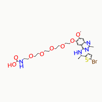 COc1cc2nc(C)nc(N[C@H](C)c3ccc(Br)s3)c2cc1OCCOCCOCCOCCOCCNC(=O)O